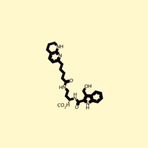 O=C(CCCCc1ccc2c(n1)NCCC2)NCC[C@H](NC(=O)c1[nH]c2ccccc2c1CO)C(=O)O